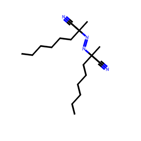 CCCCCCC(C)(C#N)N=NC(C)(C#N)CCCCCC